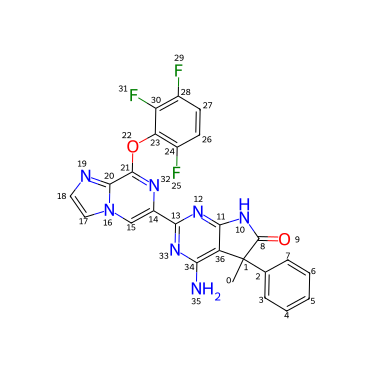 CC1(c2ccccc2)C(=O)Nc2nc(-c3cn4ccnc4c(Oc4c(F)ccc(F)c4F)n3)nc(N)c21